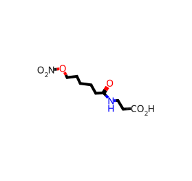 O=C(O)CCNC(=O)CCCCCO[N+](=O)[O-]